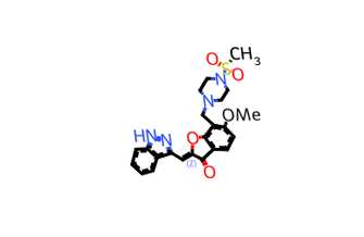 COc1ccc2c(c1CN1CCN(S(C)(=O)=O)CC1)O/C(=C\c1n[nH]c3ccccc13)C2=O